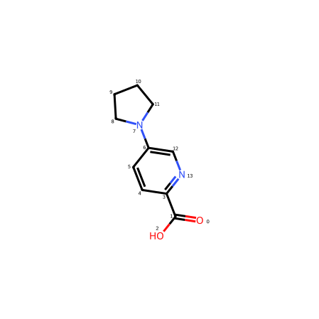 O=C(O)c1ccc(N2CCCC2)cn1